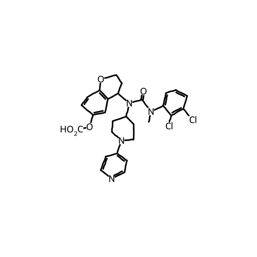 CN(C(=O)N(C1CCN(c2ccncc2)CC1)C1CCOc2ccc(OC(=O)O)cc21)c1cccc(Cl)c1Cl